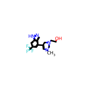 CN1C=C(c2cc(C(F)(F)F)cc3[nH]ncc23)CN(CCO)C1